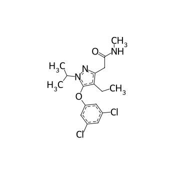 CCc1c(CC(=O)NC)nn(C(C)C)c1Oc1cc(Cl)cc(Cl)c1